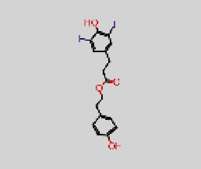 O=C(CCc1cc(I)c(O)c(I)c1)OCCc1ccc(O)cc1